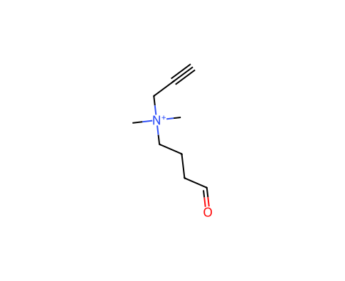 C#CC[N+](C)(C)CCCC=O